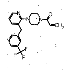 C=CC(=O)N1CCN(c2ncccc2Cc2cncc(C(F)(F)F)c2)CC1